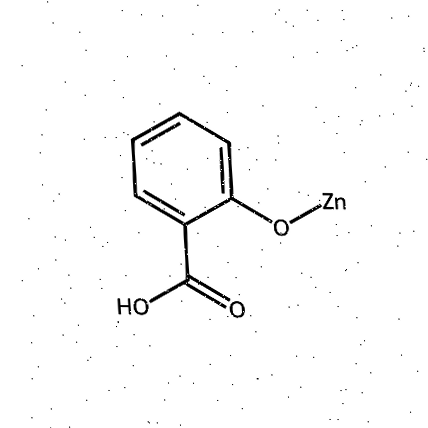 O=C(O)c1ccccc1[O][Zn]